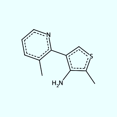 Cc1cccnc1-c1csc(C)c1N